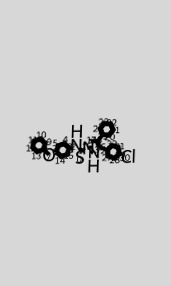 S=C(Nc1ccc(Oc2ccccc2)cc1)N1CC(c2ccccc2)=C(c2ccc(Cl)cc2)N1